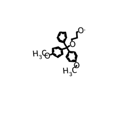 COc1ccc(C(OCCC[O])(c2ccccc2)c2ccc(OC)cc2)cc1